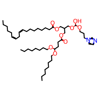 CCCCC/C=C\C/C=C\CCCCCCCC(=O)OCC(COC(=O)CCC(OCCCCCCCC)OCCCCCCCC)COC(O)OCCCn1ccnc1